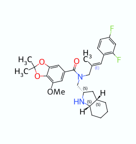 COc1cc(C(=O)N(C/C(C)=C/c2ccc(F)cc2F)C[C@@H]2C[C@@H]3CCCC[C@@H]3N2)cc2c1OC(C)(C)O2